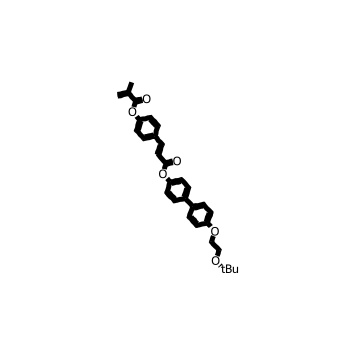 C=C(C)C(=O)Oc1ccc(/C=C/C(=O)Oc2ccc(-c3ccc(OCCOC(C)(C)C)cc3)cc2)cc1